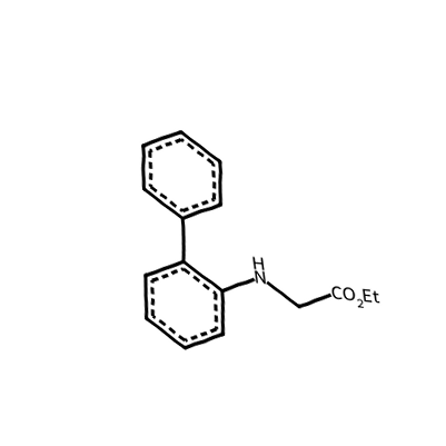 CCOC(=O)CNc1ccccc1-c1ccccc1